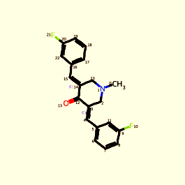 CN1C/C(=C\c2cccc(F)c2)C(=O)/C(=C/c2cccc(F)c2)C1